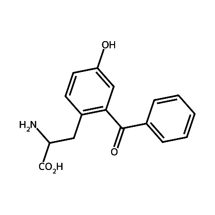 NC(Cc1ccc(O)cc1C(=O)c1ccccc1)C(=O)O